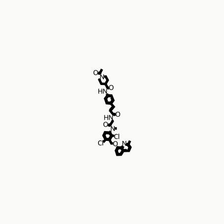 CC(=O)N1CCC(C(=O)Nc2ccc(C=CC(=O)NCC(=O)N(C)c3ccc(Cl)c(COc4cccc5ccc(C)nc45)c3Cl)cc2)CC1